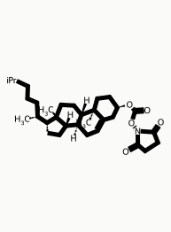 CC(C)CCC[C@@H](C)[C@H]1CC[C@H]2[C@@H]3CC=C4C[C@@H](OC(=O)ON5C(=O)CCC5=O)CC[C@]4(C)[C@H]3CC[C@]12C